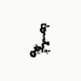 O=C(O)[C@H](CCN(CCCCc1ccc2c(n1)NCCC2)C1CC1)NC(=O)[C@H](CO)c1ccccc1